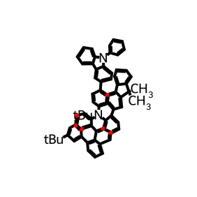 CC(C)(C)c1cc(-c2cccc3cccc(-c4ccccc4N(c4ccc(-c5ccc6c(c5)c5ccccc5n6-c5ccccc5)cc4)c4ccccc4-c4ccc5c(c4)C(C)(C)c4ccccc4-5)c23)cc(C(C)(C)C)c1